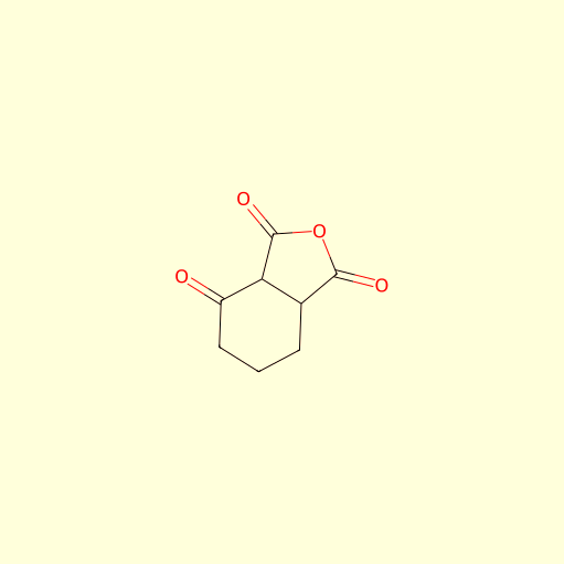 O=C1OC(=O)C2C(=O)CCCC12